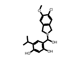 COc1cc2c(cc1Cl)CN(C(O)c1cc(C(C)C)c(O)cc1O)C2